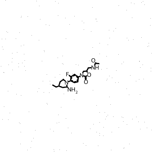 CCC1CCN(c2ccc(N3CC(CNC(C)=O)OC3=O)cc2F)C(N)C1